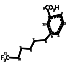 O=C(O)c1cccc(CCCCCC(F)(F)F)c1